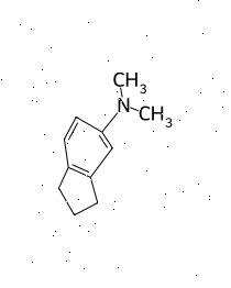 CN(C)c1ccc2c(c1)CCC2